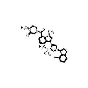 CN1CCN(C(=O)c2cccc3c([C@H]4CN(C5CCc6cccc(F)c65)C[C@@H]4N(C)C)cn(C)c23)CC1=O